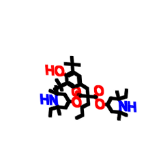 CCCCC(Cc1cc(C(C)(C)C)c(O)c(C(C)(C)C)c1)(C(=O)OC1CC(C)(C)NC(C)(CC)C1)C(=O)OC1CC(C)(C)NC(C)(CC)C1